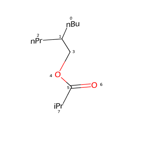 CCCCC(CCC)COC(=O)C(C)C